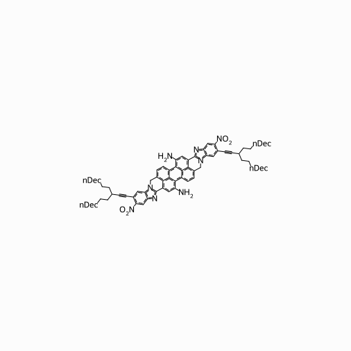 CCCCCCCCCCCCC(C#Cc1cc2c(cc1[N+](=O)[O-])nc1n2Cc2ccc3c4c(N)cc5c6c(ccc(c7c(N)cc-1c2c37)c64)Cn1c-5nc2cc([N+](=O)[O-])c(C#CC(CCCCCCCCCCCC)CCCCCCCCCCCC)cc21)CCCCCCCCCCCC